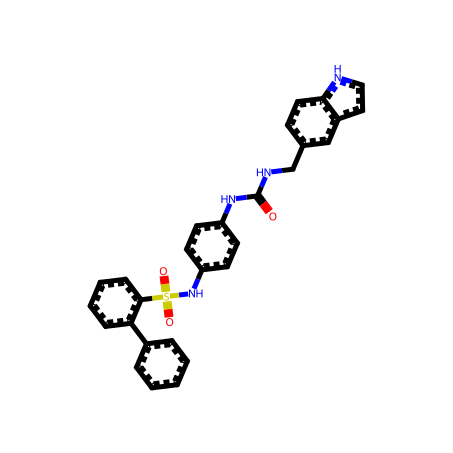 O=C(NCc1ccc2[nH]ccc2c1)Nc1ccc(NS(=O)(=O)c2ccccc2-c2ccccc2)cc1